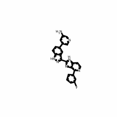 Nc1cncc(-c2ccc3[nH]nc(-c4nc5c(-c6cccc(F)c6)nccc5[nH]4)c3c2)c1